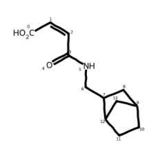 O=C(O)/C=C\C(=O)NCC1CC2CCC1C2